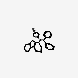 C1=CC[C]([Hf+2](=[C](c2ccccc2)c2ccccc2)[CH]2CCCC3=C2CC2=C3CCCC2)=C1.[Cl-].[Cl-]